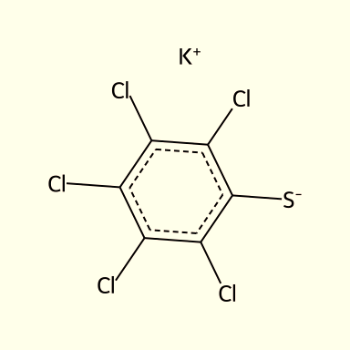 [K+].[S-]c1c(Cl)c(Cl)c(Cl)c(Cl)c1Cl